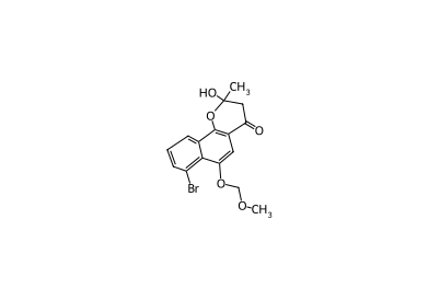 COCOc1cc2c(c3cccc(Br)c13)OC(C)(O)CC2=O